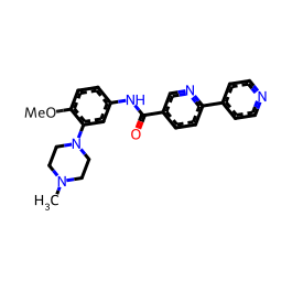 COc1ccc(NC(=O)c2ccc(-c3ccncc3)nc2)cc1N1CCN(C)CC1